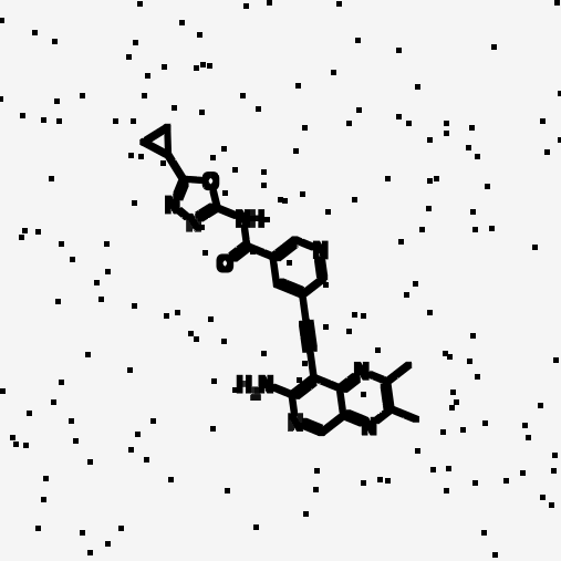 Cc1nc2cnc(N)c(C#Cc3cncc(C(=O)Nc4nnc(C5CC5)o4)c3)c2nc1C